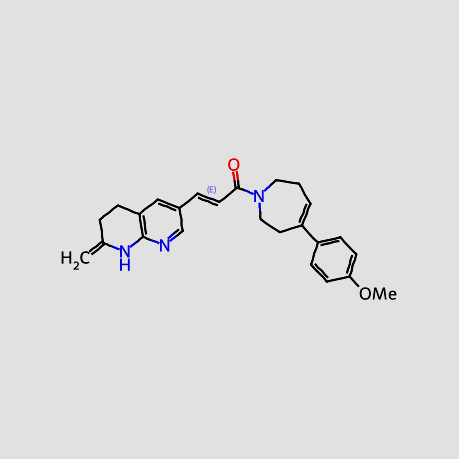 C=C1CCc2cc(/C=C/C(=O)N3CCC=C(c4ccc(OC)cc4)CC3)cnc2N1